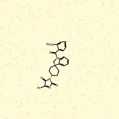 COc1ccccc1C(=O)NC[C@]1(c2ccccc2)CC[C@@H](N2C(=O)N=C(C(C)C)C2=O)CC1